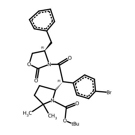 CC(C)(C)OC(=O)N1C([C@H](C(=O)N2C(=O)OC[C@H]2Cc2ccccc2)c2ccc(Br)cc2)CCC1(C)C